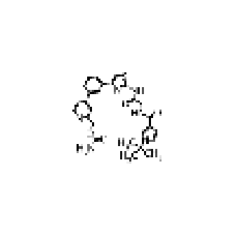 CC(C)(C)n1ccc(C(=O)NCC(=O)Nc2nc(-c3cccc(-c4ccnc(COC(N)=O)c4)c3)cs2)c1